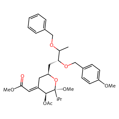 COC(=O)/C=C1\C[C@@H](C[C@@H](OCc2ccc(OC)cc2)C(C)OCc2ccccc2)O[C@@](OC)(C(C)C)[C@H]1OC(C)=O